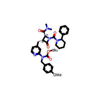 COc1ccc(CN(C(=O)OC(C)(C)C)c2cc(C[C@H]3C(=O)N(C(=O)N4CCCCC4c4ccccc4)[C@@H]3C(=O)N(C)C)ccn2)cc1